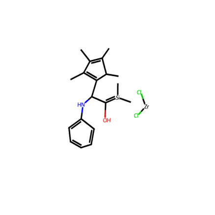 CC1=C(C)C(C)C(C(Nc2ccccc2)C(O)=[Si](C)C)=C1C.[Cl][Zr][Cl]